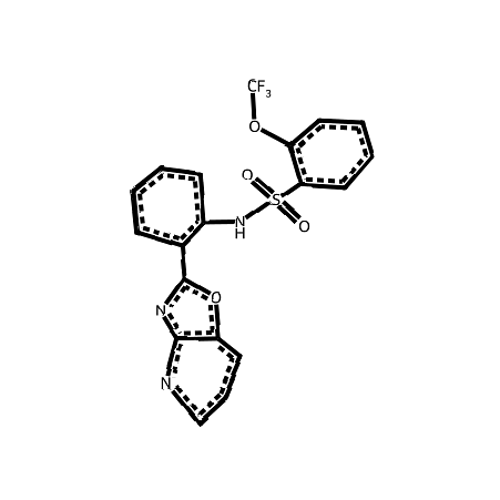 O=S(=O)(Nc1ccccc1-c1nc2ncccc2o1)c1ccccc1OC(F)(F)F